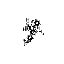 Cc1n[nH]c2c1N=C(c1c(F)cccc1F)Nc1c-2cc(N2CCN(CC(F)F)CC2)nc1C